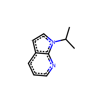 CC(C)n1c[c]c2cccnc21